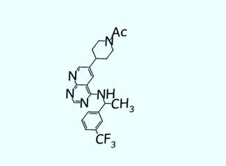 CC(=O)N1CCC(c2cnc3ncnc(NC(C)c4cccc(C(F)(F)F)c4)c3c2)CC1